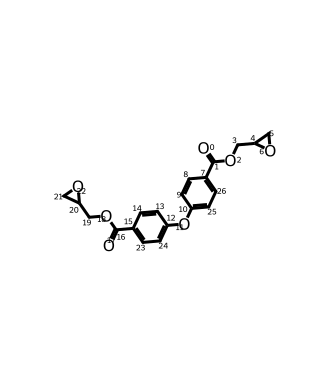 O=C(OCC1CO1)c1ccc(Oc2ccc(C(=O)OCC3CO3)cc2)cc1